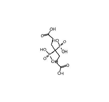 O=C(O)CCC(CCC(=O)O)(P(=O)(O)O)P(=O)(O)O